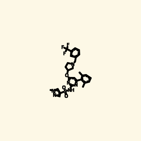 Cc1cccc(C)c1-c1cc(OC2CCN(Cc3cccc(C(F)(F)F)c3)C2)nc(NS(=O)(=O)c2cnn(C)c2)n1